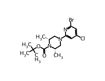 C[C@@H]1CN(c2cc(Cl)cc(Br)n2)C[C@H](C)N1C(=O)OC(C)(C)C